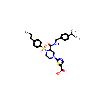 CCCc1ccc(S(=O)(=O)N2CCN(c3ncc(C(=O)O)s3)C[C@@H]2C(=O)NCc2ccc(C(C)C)cc2)cc1